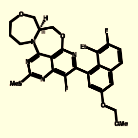 CCc1c(F)ccc2cc(OCOC)cc(-c3nc4c5c(nc(SC)nc5c3F)N3CCCOC[C@H]3CO4)c12